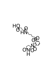 O=C(O)CCC(=O)NCCCCCS(=O)(=O)c1cccc2c1CN(C1CCC(=O)NC1=O)C2=O